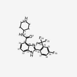 O=C(NC1CCNCC1)c1cccc2[nH]c(-c3ccc(F)cc3C(F)(F)F)nc12